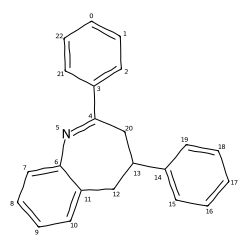 c1ccc(C2=Nc3ccccc3CC(c3ccccc3)C2)cc1